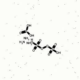 N.N.N.O=S(=O)(O)OOS(=O)(=O)O.O=S(O)O